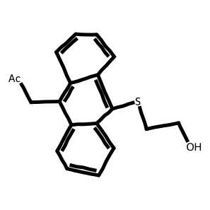 CC(=O)Cc1c2ccccc2c(SCCO)c2ccccc12